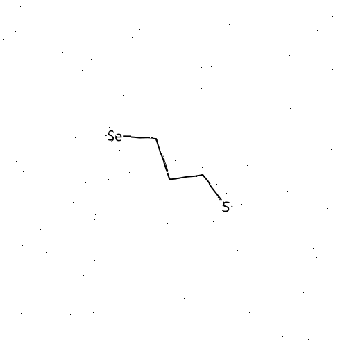 [S]CCC[Se]